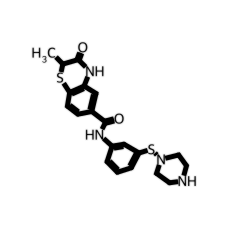 CC1Sc2ccc(C(=O)Nc3cccc(SN4CCNCC4)c3)cc2NC1=O